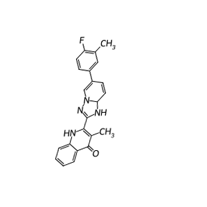 Cc1cc(C2=CN3N=C(c4[nH]c5ccccc5c(=O)c4C)NC3C=C2)ccc1F